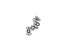 O=[SH](=O)NCc1ccccc1Nc1nc(Nc2ccc3c(c2)OCO3)ncc1Br